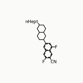 CCCCCCCC1CCC2CC(c3cc(F)c4cc(C#N)c(F)cc4c3)CCC2C1